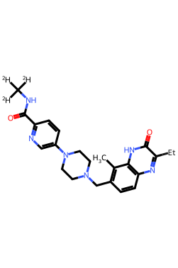 [2H]C([2H])([2H])NC(=O)c1ccc(N2CCN(Cc3ccc4nc(CC)c(=O)[nH]c4c3C)CC2)cn1